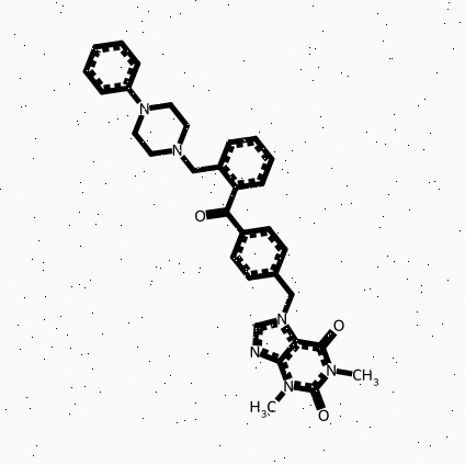 Cn1c(=O)c2c(ncn2Cc2ccc(C(=O)c3ccccc3CN3CCN(c4ccccc4)CC3)cc2)n(C)c1=O